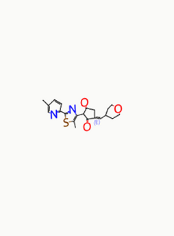 Cc1ccc(-c2nc(C3C(=O)C/C(=C\C4CCOCC4)C3=O)c(C)s2)nc1